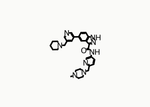 CN1CCN(Cc2ccc(NC(=O)c3n[nH]c4ccc(-c5cncc(CN6CCCCC6)c5)cc34)cn2)CC1